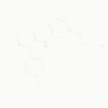 C[C@H]([C@H](C(=O)Nc1cc(CCC(=O)O)ccc1Cl)c1ccc(C(F)(F)F)cc1)C(F)(F)F